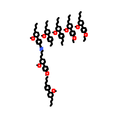 CCCCC1CCC(c2ccc(C#N)cc2)C(OC)C1.CCCCC1CCC(c2ccc(CC)cc2)C(OC)C1.CCCCC1CCC(c2ccc(CCC)cc2)C(OC)C1.CCCCC1CCC(c2ccc(OC)cc2)C(OC)C1.CCCCC1CCC(c2ccc(OCC)cc2)C(OC)C1.CCCCC1CCC(c2ccc(OCCC)cc2)C(OC)C1.CCCCc1ccc(C2CCC(CCCC)CC2OC)cc1